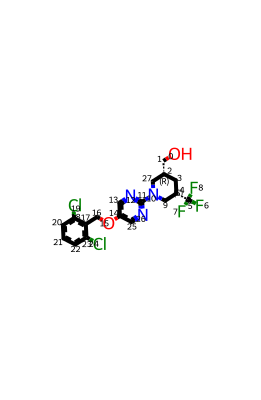 OC[C@@H]1C[C@H](C(F)(F)F)CN(c2ncc(OCc3c(Cl)cccc3Cl)cn2)C1